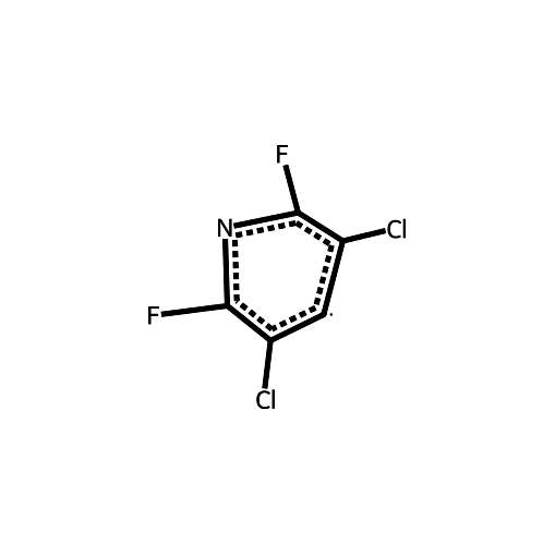 Fc1nc(F)c(Cl)[c]c1Cl